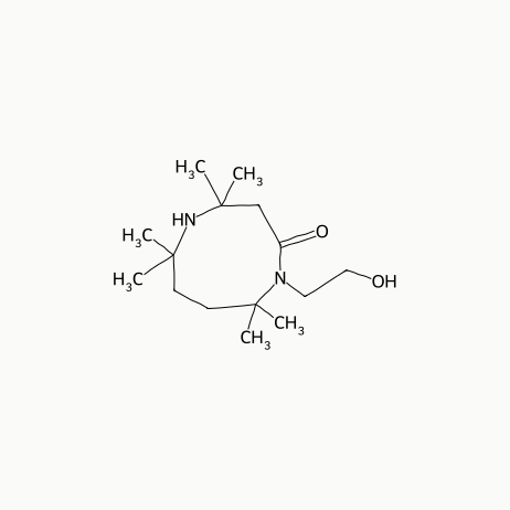 CC1(C)CCC(C)(C)N(CCO)C(=O)CC(C)(C)N1